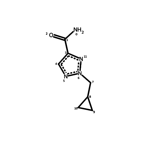 NC(=O)c1cnn(CC2CC2)n1